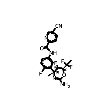 CC(F)(F)[C@H]1OC(N)=N[C@](C)(c2cc(NC(=O)c3ccc(C#N)cn3)ccc2F)[C@H]1F